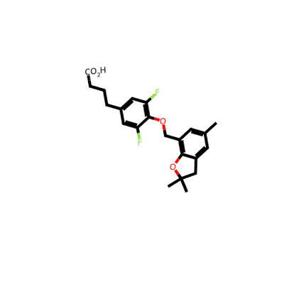 Cc1cc(COc2c(F)cc(CCCC(=O)O)cc2F)c2c(c1)CC(C)(C)O2